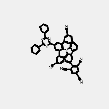 N#Cc1cccc(-c2cc(-c3nc(-c4ccccc4)nc(-c4ccccc4)n3)cc(-c3cccc(C#N)c3)c2-n2c3ccccc3c3cc(-c4c(C#N)cc(C#N)cc4C#N)ccc32)c1